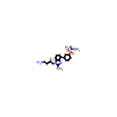 Cc1nc2c(-c3cccc(S(=O)(=O)N(C)C)c3)cccc2n1C/C(F)=C/CN